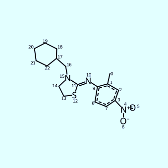 Cc1cc([N+](=O)[O-])ccc1N=C1SCCN1CC1CCCCC1